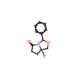 O=C1CC[C@H]2COC(c3ccccc3)N12